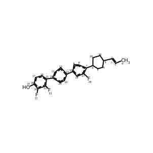 C/C=C/C1CCC(c2ccc(-c3ccc(-c4ccc(O)c(F)c4F)cc3)cc2F)CC1